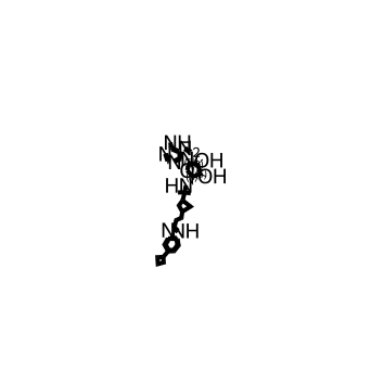 CC(C)(NC[C@H]1O[C@@H](n2cnc3c(N)ncnc32)[C@H](O)[C@@H]1O)C1CC(CCc2nc3cc(C4CCC4)ccc3[nH]2)C1